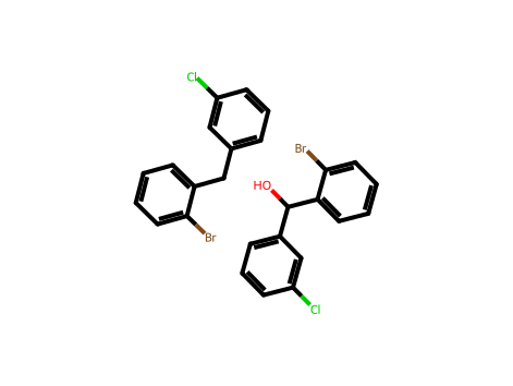 Clc1cccc(Cc2ccccc2Br)c1.OC(c1cccc(Cl)c1)c1ccccc1Br